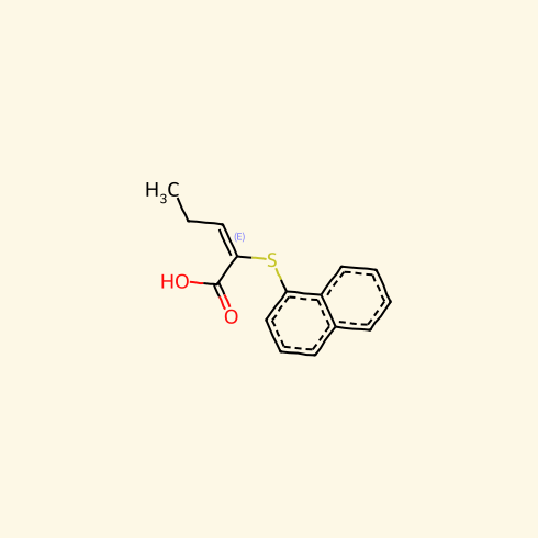 CC/C=C(/Sc1cccc2ccccc12)C(=O)O